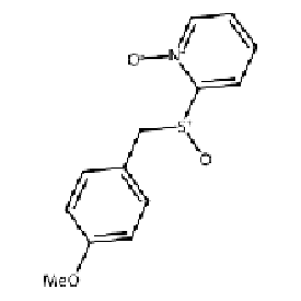 COc1ccc(C[S+]([O-])c2cccc[n+]2[O-])cc1